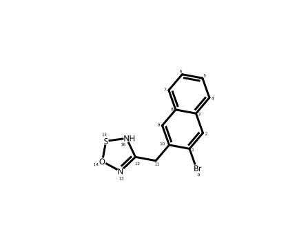 Brc1cc2ccccc2cc1CC1=NOSN1